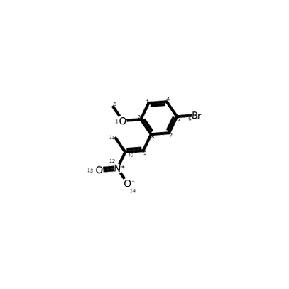 COc1ccc(Br)cc1C=C(C)[N+](=O)[O-]